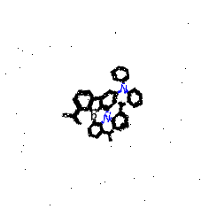 CC(C)c1ccccc1N1c2cc(N(c3ccccc3)c3ccccc3)cc3c2B(c2cccc(C(C)C)c21)c1c-3cccc1C(C)C